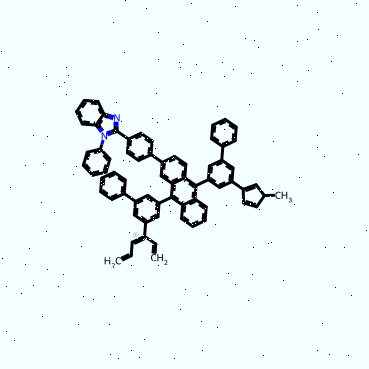 C=C/C=C(\C=C)c1cc(-c2ccccc2)cc(-c2c3ccccc3c(-c3cc(C4=CC(C)C=C4)cc(-c4ccccc4)c3)c3ccc(-c4ccc(-c5nc6ccccc6n5-c5ccccc5)cc4)cc23)c1